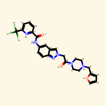 O=C(Nc1ccc2nn(CC(=O)N3CCN(Cc4ccco4)CC3)cc2c1)c1cccc(C(F)(F)F)n1